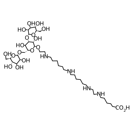 O=C(O)CCCCCNCCNCCCCCCNCCCCCCNCCO[C@H]1O[C@H](CO[C@H]2O[C@H](CO)[C@@H](O)[C@H](O)[C@@H]2O)[C@@H](O)[C@H](O[C@H]2O[C@H](CO)[C@@H](O)[C@H](O)[C@@H]2O)[C@@H]1O